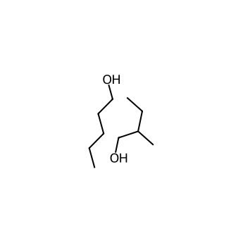 CCC(C)CO.CCCCCO